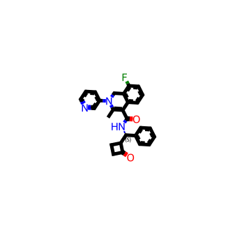 CC1=C(C(=O)N[C@H](c2ccccc2)C2CCC2=O)c2cccc(F)c2CN1c1cccnc1